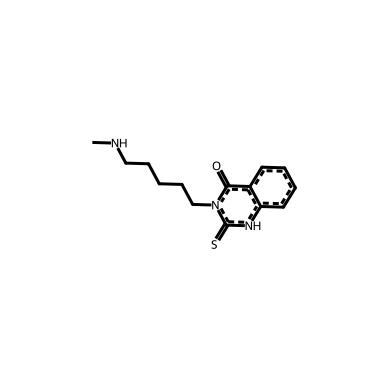 CNCCCCCn1c(=S)[nH]c2ccccc2c1=O